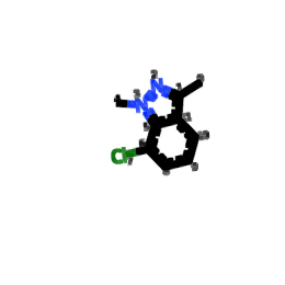 Cc1nn(C)c2c(Cl)cccc12